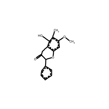 COc1cc2c(c(O)c1C)CC(=O)C(c1ccccc1)O2